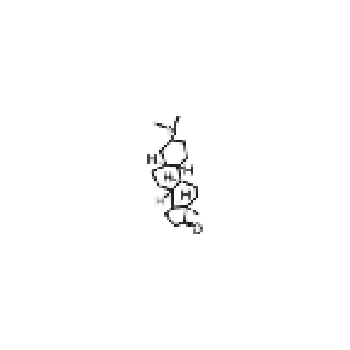 CN(C)[C@H]1CC[C@H]2[C@@H](CC[C@@H]3[C@@H]2CC[C@]2(C)C(=O)CC[C@@H]32)C1